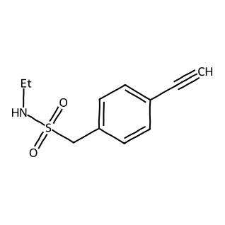 C#Cc1ccc(CS(=O)(=O)NCC)cc1